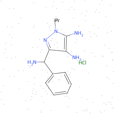 CC(C)n1nc(C(N)c2ccccc2)c(N)c1N.Cl